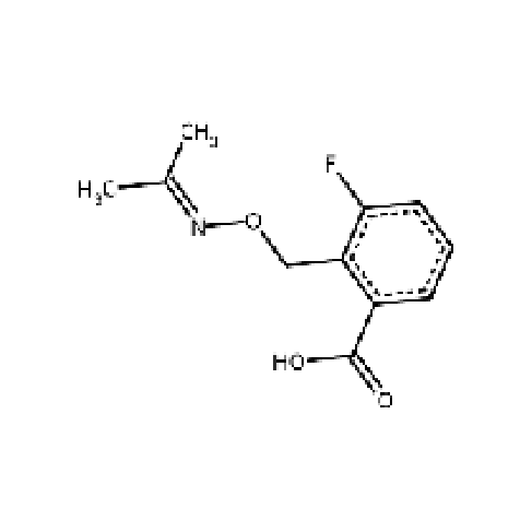 CC(C)=NOCc1c(F)cccc1C(=O)O